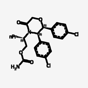 CCC[C@@H](COC(N)=O)N1C(=O)CO[C@@H](c2ccc(Cl)cc2)[C@H]1c1ccc(Cl)cc1